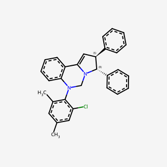 Cc1cc(C)c(N2CN3C(=C[C@@H](c4ccccc4)[C@@H]3c3ccccc3)c3ccccc32)c(Cl)c1